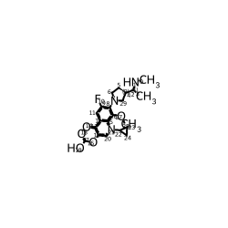 CN[C@@H](C)[C@@H]1CCN(c2c(F)cc3c(=O)c(OC(=O)O)cn(C4CC4)c3c2OC)C1